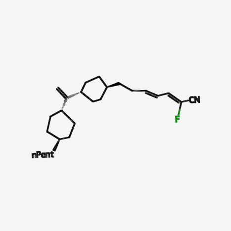 C=C([C@H]1CC[C@H](CC/C=C/C=C(\F)C#N)CC1)[C@H]1CC[C@H](CCCCC)CC1